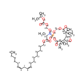 CCCCC/C=C\C/C=C\CCCCCCCCOC(=O)[C@H](C)N(OCOC(=O)OC(C)C)P1(=O)OCOC(=O)C(C)(C)C2COCC2C(C)(C)C(=O)O1